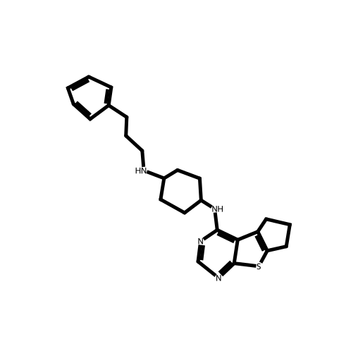 c1ccc(CCCNC2CCC(Nc3ncnc4sc5c(c34)CCC5)CC2)cc1